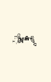 Bc1cnn2c(NCc3ccc(CNC(=O)c4ccc(-c5ccccc5)cc4)cc3)cc(-c3ccccc3Cl)nc12